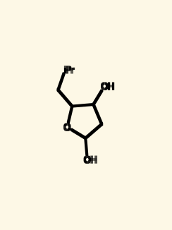 CC(C)CC1OC(O)CC1O